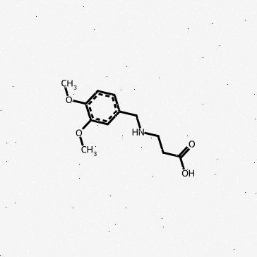 COc1ccc(CNCCC(=O)O)cc1OC